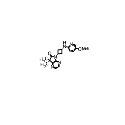 COc1ccc(N[C@H]2C[C@H](N3C(=O)C(C)(C)c4nccnc43)C2)nc1